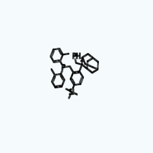 Cc1ccccc1P(Cc1cc([Si](C)(C)C)ccc1C1(CP)C2CC3CC(C2)CC1C3)c1ccccc1C